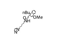 CCCCc1c(C=CC(=O)NCCCCCCN2C=CC=NC2)cc(OC)c2ccccc12